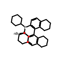 CCCCOc1ccc2c(c1-c1c(P(C3CCCCC3)C3CCCCC3)ccc3c1CCCC3)CCCC2